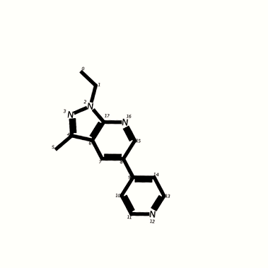 CCn1nc(C)c2cc(-c3ccncc3)cnc21